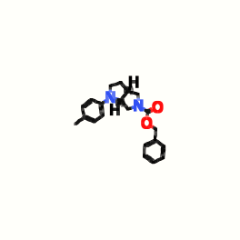 Cc1ccc(N2CC[C@@H]3CN(C(=O)OCc4ccccc4)C[C@@H]32)cc1